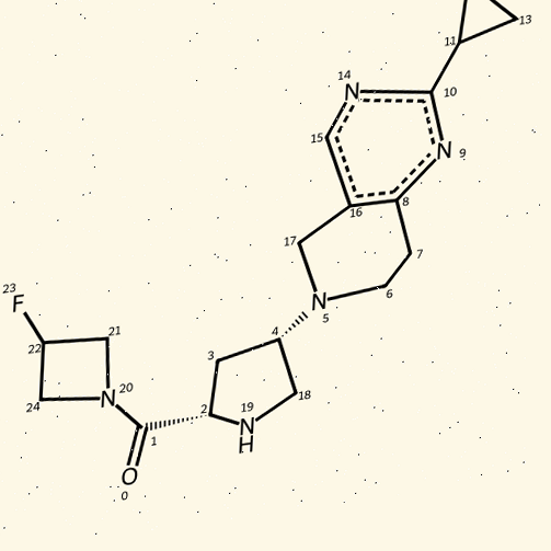 O=C([C@@H]1C[C@H](N2CCc3nc(C4CC4)ncc3C2)CN1)N1CC(F)C1